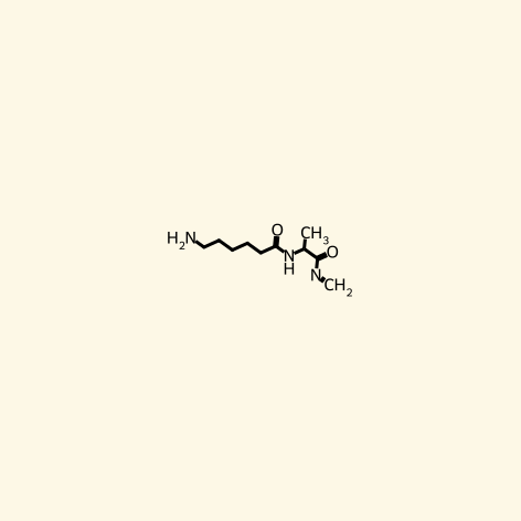 C=NC(=O)C(C)NC(=O)CCCCCN